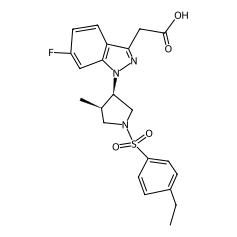 CCc1ccc(S(=O)(=O)N2C[C@@H](C)[C@@H](n3nc(CC(=O)O)c4ccc(F)cc43)C2)cc1